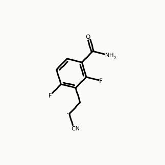 N#C[CH]Cc1c(F)ccc(C(N)=O)c1F